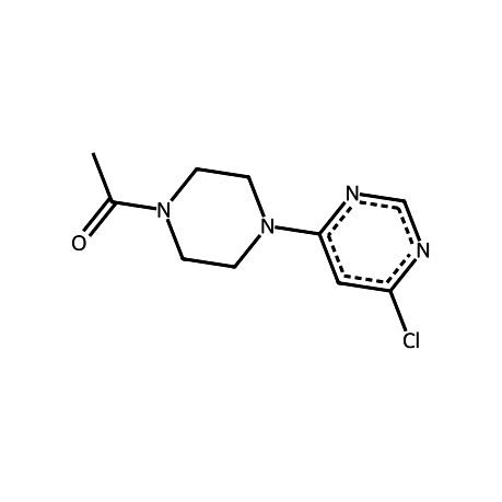 CC(=O)N1CCN(c2cc(Cl)ncn2)CC1